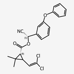 CC1(C)C(C=C(Cl)Cl)[C@H]1C(=O)O[C@H](C#N)c1cccc(Oc2ccccc2)c1